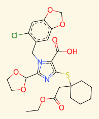 CCOC(=O)CC1(Sc2nc(C3OCCO3)n(Cc3cc4c(cc3Cl)OCO4)c2C(=O)O)CCCCC1